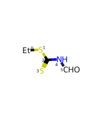 CCSC(=S)NC=O